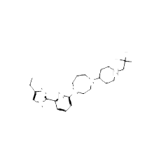 CCc1c[nH]c(-c2cccc(N3CCCN(C4CCN([C@@H](C)C(F)(F)F)CC4)CC3)n2)n1